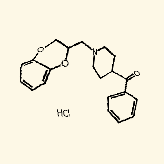 Cl.O=C(c1ccccc1)C1CCN(CC2COc3ccccc3O2)CC1